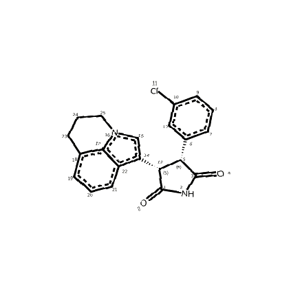 O=C1NC(=O)[C@@H](c2cccc(Cl)c2)[C@H]1c1cn2c3c(cccc13)CCC2